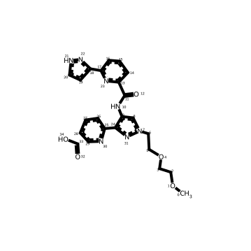 COCCOCCn1cc(NC(=O)c2cccc(-c3cc[nH]n3)n2)c(-c2ccccn2)n1.O=CO